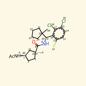 CC(=O)N[C@@H]1CC[C@](C)(C(=O)N[C@H](c2c(F)ccc(Cl)c2Cl)C2(C)CCCC2)C1